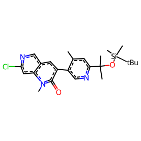 Cc1cc(C(C)(C)O[Si](C)(C)C(C)(C)C)ncc1-c1cc2cnc(Cl)cc2n(C)c1=O